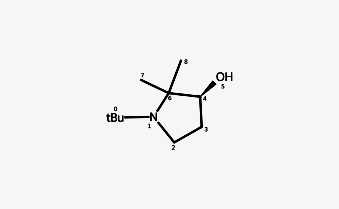 CC(C)(C)N1CC[C@H](O)C1(C)C